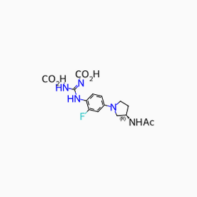 CC(=O)N[C@@H]1CCN(c2ccc(NC(=NC(=O)O)NC(=O)O)c(F)c2)C1